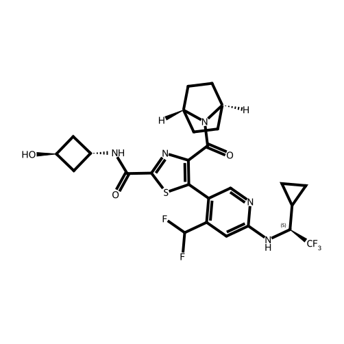 O=C(N[C@H]1C[C@H](O)C1)c1nc(C(=O)N2[C@H]3CC[C@H]2CC3)c(-c2cnc(N[C@@H](C3CC3)C(F)(F)F)cc2C(F)F)s1